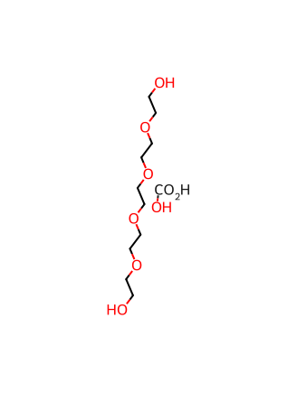 O=C(O)O.OCCOCCOCCOCCOCCO